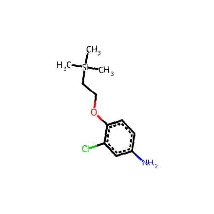 C[Si](C)(C)CCOc1ccc(N)cc1Cl